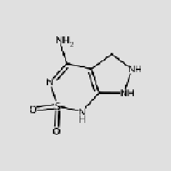 NC1=NS(=O)(=O)NC2=C1CNN2